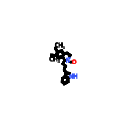 CCc1cc2c(cc1CC)C(CCCc1c[nH]c3ccccc13)N(C=O)CC2